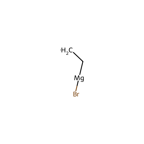 [CH2][CH2][Mg][Br]